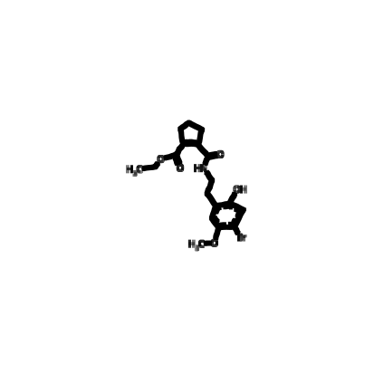 CCOC(=O)C1=C(C(=O)NCCc2cc(OC)c(Br)cc2O)CCC1